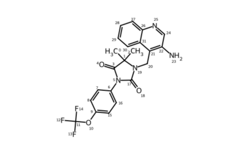 CC1(C)C(=O)N(c2ccc(OC(F)(F)F)cc2)C(=O)N1Cc1c(N)cnc2ccccc12